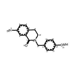 CCCc1ccc2c(c1)C(=O)N(Cc1ccc(OC)cc1)CC2